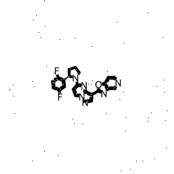 Fc1ccc(F)c([C@H]2CCCN2c2ccn3ncc(-c4nc5cnccc5o4)c3n2)c1